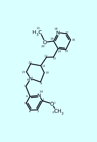 COc1cccc(CN2CCC(CCc3cccnc3OC)CC2)n1